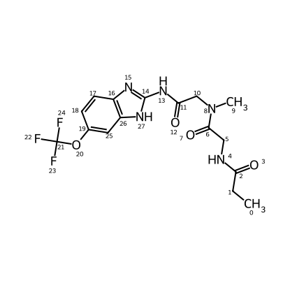 CCC(=O)NCC(=O)N(C)CC(=O)Nc1nc2ccc(OC(F)(F)F)cc2[nH]1